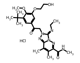 CC/N=c1\n(CC(=O)c2cc(OCCO)c(OC)c(C(C)(C)C)c2)nc2c(C)c(C)c(C(=O)NC)nn12.Cl